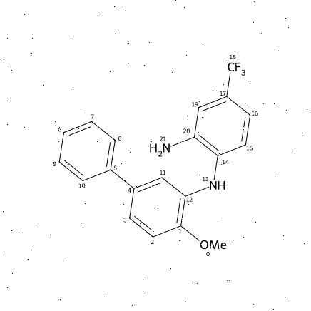 COc1ccc(-c2ccccc2)cc1Nc1ccc(C(F)(F)F)cc1N